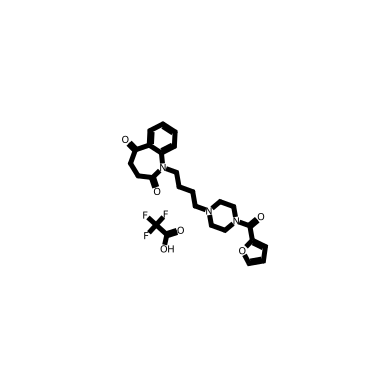 O=C(O)C(F)(F)F.O=C1CCC(=O)N(CCCCN2CCN(C(=O)c3ccco3)CC2)c2ccccc21